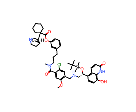 COc1cc(C(=O)N(C)CCCc2cccc(OC(=O)C3([C@@H]4CN5CCC4CC5)CCCCC3)c2)c(Cl)cc1CNC[C@H](O[Si](C)(C)C(C)(C)C)c1ccc(O)c2[nH]c(=O)ccc12